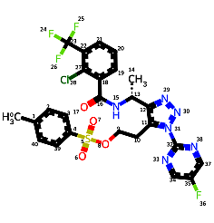 Cc1ccc(S(=O)(=O)OCCc2c([C@@H](C)NC(=O)c3cccc(C(F)(F)F)c3Cl)nnn2-c2ncc(F)cn2)cc1